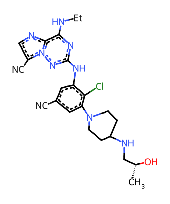 CCNc1nc(Nc2cc(C#N)cc(N3CCC(NC[C@@H](C)O)CC3)c2Cl)nn2c(C#N)cnc12